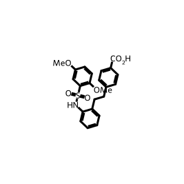 COc1ccc(OC)c(S(=O)(=O)Nc2ccccc2CCc2ccc(C(=O)O)cc2)c1